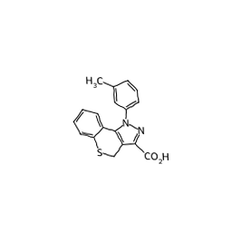 Cc1cccc(-n2nc(C(=O)O)c3c2-c2ccccc2SC3)c1